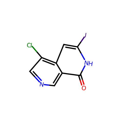 O=c1[nH]c(I)cc2c(Cl)cncc12